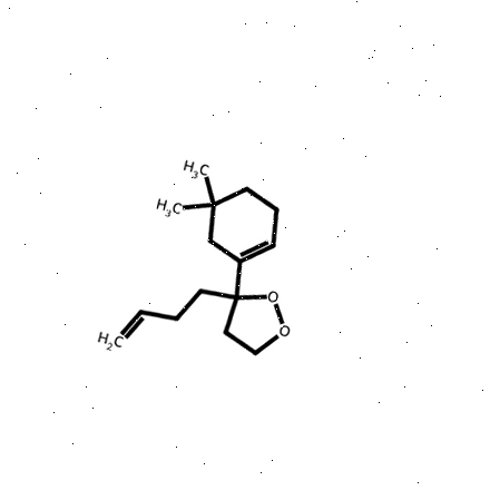 C=CCCC1(C2=CCCC(C)(C)C2)CCOO1